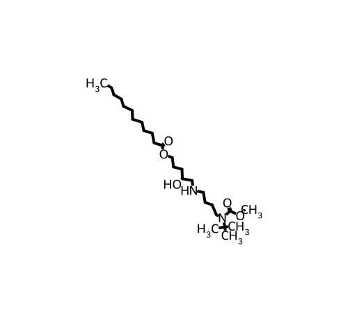 CCCCCCCCCCCC(=O)OCCCC(O)CNCCCCN(C(=O)OC)C(C)(C)C